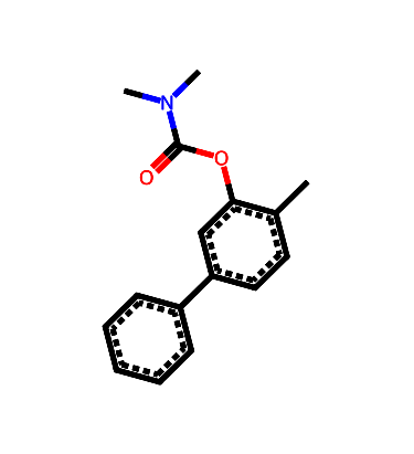 Cc1ccc(-c2ccccc2)cc1OC(=O)N(C)C